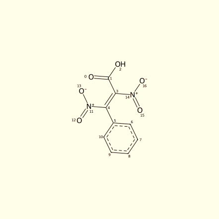 O=C(O)C(=C(c1ccccc1)[N+](=O)[O-])[N+](=O)[O-]